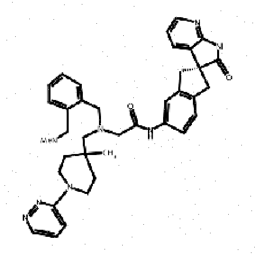 CNCc1ccccc1CN(CC(=O)Nc1ccc2c(c1)C[C@@]1(C2)C(=O)Nc2ncccc21)CC1(C)CCN(c2cccnn2)CC1